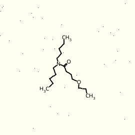 CCCCCN(CCCCC)C(=O)CCCOCCC